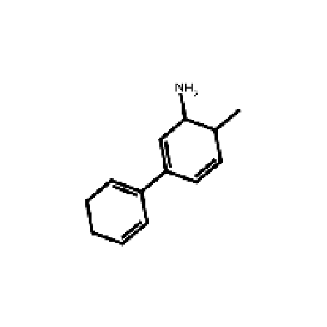 CC1C=CC(C2=CCCC=C2)=CC1N